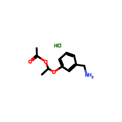 CC(=O)OC(C)Oc1cccc(CN)c1.Cl